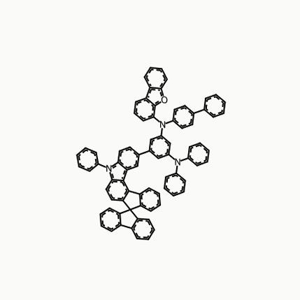 c1ccc(-c2ccc(N(c3cc(-c4ccc5c(c4)c4c6c(ccc4n5-c4ccccc4)C4(c5ccccc5-c5ccccc54)c4ccccc4-6)cc(N(c4ccccc4)c4ccccc4)c3)c3cccc4c3oc3ccccc34)cc2)cc1